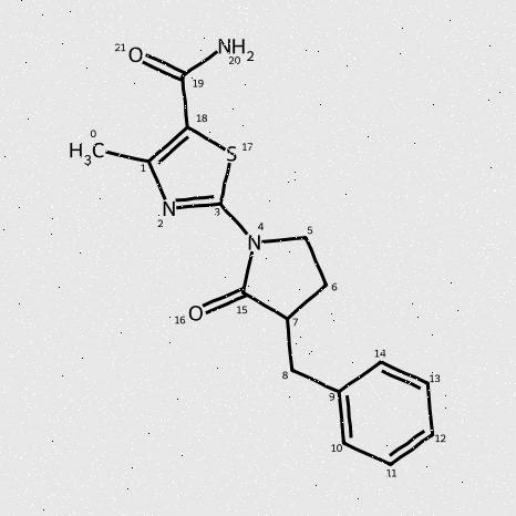 Cc1nc(N2CCC(Cc3ccccc3)C2=O)sc1C(N)=O